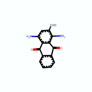 Nc1cc(C=O)c(N)c2c1C(=O)c1ccccc1C2=O